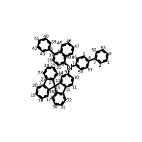 c1ccc(-c2ccc(N(c3ccc4c(c3)C3(c5ccccc5-c5ccccc53)c3ccccc3-4)c3ccc(-c4ccccc4)c4ccccc34)cc2)cc1